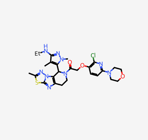 CCNc1nn(C)c(C2c3c(nc4sc(C)nn34)CCN2C(=O)COc2ccc(N3CCOCC3)nc2Cl)c1C